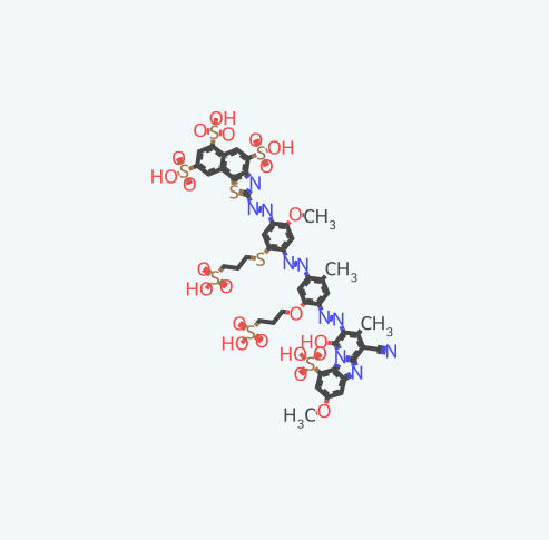 COc1cc(S(=O)(=O)O)c2c(c1)nc1c(C#N)c(C)c(N=Nc3cc(C)c(N=Nc4cc(OC)c(N=Nc5nc6c(S(=O)(=O)O)cc7c(S(=O)(=O)O)cc(S(=O)(=O)O)cc7c6s5)cc4SCCCS(=O)(=O)O)cc3OCCCS(=O)(=O)O)c(O)n12